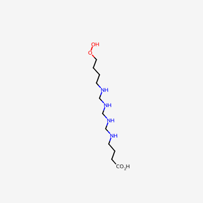 O=C(O)CCCNCNCNCNCCCCOO